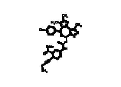 COC(=O)c1cc(NC(=O)C[C@@H]2N=C(c3ccc(Cl)cc3)c3c(sc(C)c3C)-n3c(C)nnc32)ccc1C#CCN